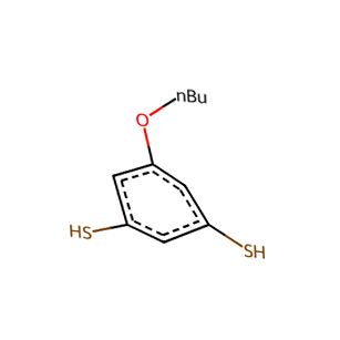 CCCCOc1cc(S)cc(S)c1